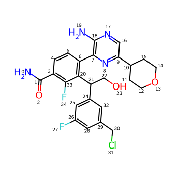 NC(=O)c1ccc(-c2nc(C3CCOCC3)cnc2N)c(C(CO)c2cc(F)cc(CCl)c2)c1F